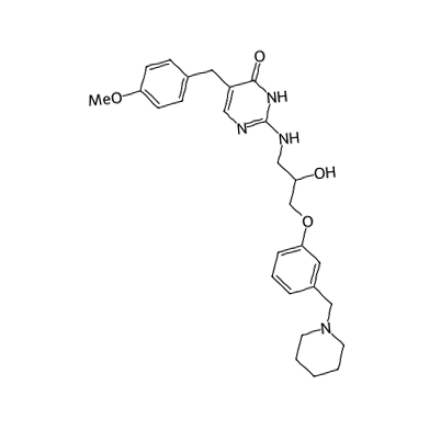 COc1ccc(Cc2cnc(NCC(O)COc3cccc(CN4CCCCC4)c3)[nH]c2=O)cc1